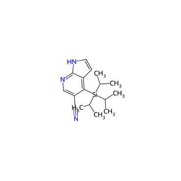 CC(C)[Si](c1c(C#N)cnc2[nH]ccc12)(C(C)C)C(C)C